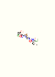 O=C(Cn1cc(C(F)(F)F)cc(Cl)c1=O)N1CCC(c2nc(C3=NOC(c4c(O)cccc4Cl)C3)cs2)CC1